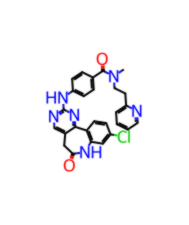 CN(CCc1ccccn1)C(=O)c1ccc(Nc2ncc3c(n2)-c2ccc(Cl)cc2NC(=O)C3)cc1